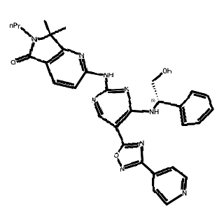 CCCN1C(=O)c2ccc(Nc3ncc(-c4nc(-c5ccncc5)no4)c(N[C@H](CO)c4ccccc4)n3)nc2C1(C)C